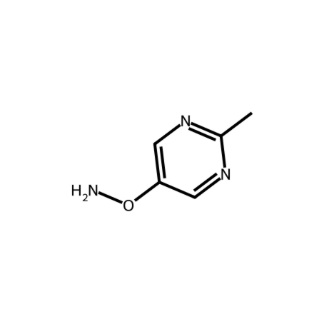 Cc1ncc(ON)cn1